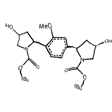 COc1cc([C@H]2C[C@@H](O)CN2C(=O)OC(C)(C)C)ccc1C1CC(O)CN1C(=O)OC(C)(C)C